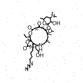 CC[C@H]1OC(=O)[C@H](C)C(=O)[C@H](C)[C@@H](O[C@@H]2OC(C)CC(N(C)C)C2O)[C@](C)(OC)C[C@@H](C)CN[C@H](CCO)[C@H]2N(CCCCN=[N+]=[N-])C(=O)O[C@]12C